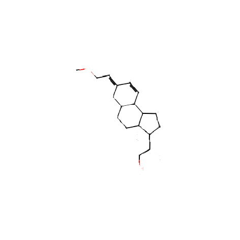 COC/C=C1/C=CC2C(CC[C@@]3(C)C2CCC3[C@H](C)CO)C1